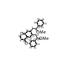 COC(Cc1cc2occc(=O)c2cc1CC(OC)c1ccccc1)c1ccccc1